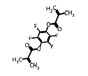 C=C(C)C(=O)Oc1c(F)c(F)c(OC(=O)C(=C)C)c(F)c1F